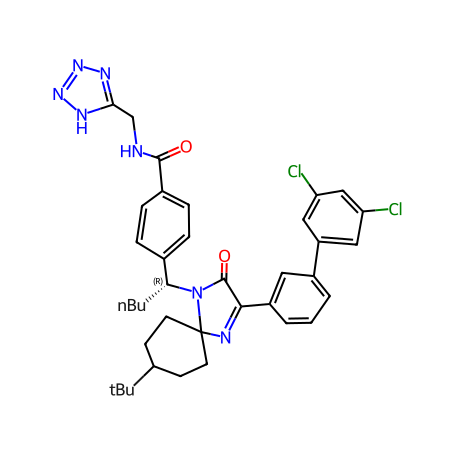 CCCC[C@H](c1ccc(C(=O)NCc2nnn[nH]2)cc1)N1C(=O)C(c2cccc(-c3cc(Cl)cc(Cl)c3)c2)=NC12CCC(C(C)(C)C)CC2